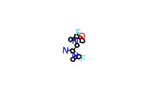 N#Cc1cc(-c2cccc(-n3c4ccccc4c4cc(F)c5oc6ccccc6c5c43)c2)cc(-n2c3ccccc3c3cc(F)ccc32)c1